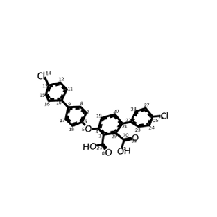 O=C(O)c1c(Oc2ccc(-c3ccc(Cl)cc3)cc2)ccc(-c2ccc(Cl)cc2)c1C(=O)O